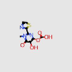 Cn1c(-c2nccs2)nc(OC(=O)O)c(O)c1=O